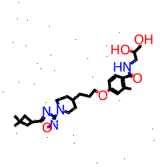 Cc1cc(OCCCC2CCN(c3noc(C4CC(C)(C)C4)n3)CC2)ccc1C(=O)NCC(O)CO